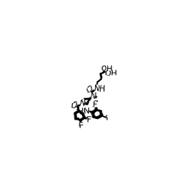 CN(C(=O)NCCCC(O)O)C1CN(C(=O)c2ccc(F)c(F)c2Nc2ccc(I)cc2F)C1